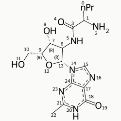 CCCC(N)C(=O)NC1[C@@H](O)[C@@H](CO)O[C@H]1n1cnc2c(=O)[nH]c(C)nc21